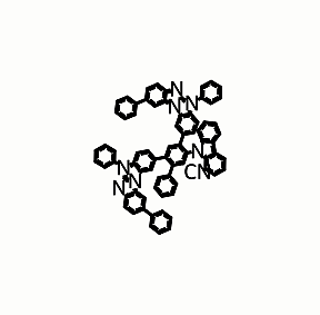 N#Cc1c(-c2ccccc2)c(-c2ccc3c(c2)n2c4cc(-c5ccccc5)ccc4nc2n3-c2ccccc2)cc(-c2ccc3c(c2)n2c4cc(-c5ccccc5)ccc4nc2n3-c2ccccc2)c1-n1c2ccccc2c2ccccc21